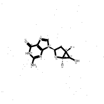 Nc1nc2c(ncn2[C@H]2C[C@]3(F)C(O)[C@H]3O2)c(=O)[nH]1